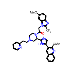 COc1ccc2nc(C(F)(F)F)n(CC(=O)N3CCN(CCc4ccccn4)CC3c3ncc(-c4cc5ccccc5nc4OC)[nH]3)c2c1